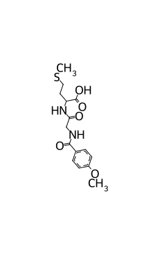 COc1ccc(C(=O)NCC(=O)NC(CCSC)C(=O)O)cc1